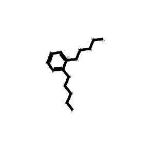 CCCCCc1c[c][c]cc1CCCCC